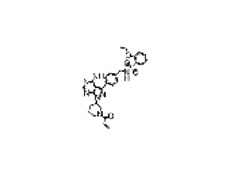 C=CC(=O)N1CCCC(n2nc(-c3ccc(CNS(=O)(=O)c4ccccc4OCC)cc3)c3c(N)ncnc32)C1